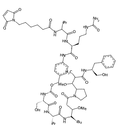 CC[C@H](C)C(NC(=O)[C@@H](NC(=O)[C@H](CO)NC(=O)OCc1ccc(NC(=O)[C@H](CCCNC(N)=O)NC(=O)C(NC(=O)CCCCCN2C(=O)C=CC2=O)C(C)C)cc1)C(C)C)C(CC(=O)N1CCCC1C(OC)C(C)C(=O)N[C@H](CO)Cc1ccccc1)OC